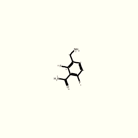 NCc1ccc(F)c(C(N)=O)c1F